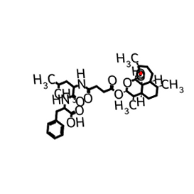 CC(C)CC(NC(=O)CCC(=O)O[C@@H]1O[C@H]2O[C@@]3(C)CC[C@H]4[C@H](C)CC[C@@H]([C@H]1C)[C@@]24OO3)C(=O)NC(Cc1ccccc1)C(=O)O